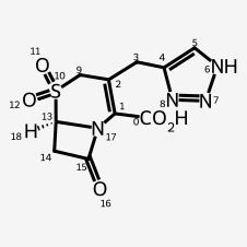 O=C(O)C1=C(Cc2c[nH]nn2)CS(=O)(=O)[C@@H]2CC(=O)N12